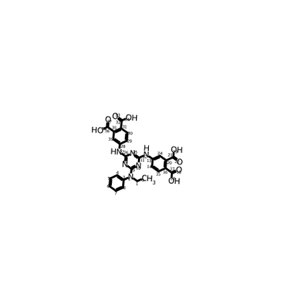 CCN(c1ccccc1)c1nc(Nc2ccc(C(=O)O)c(C(=O)O)c2)nc(Nc2ccc(C(=O)O)c(C(=O)O)c2)n1